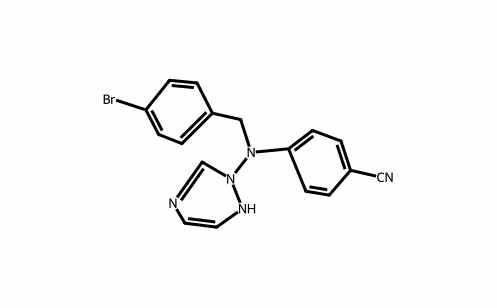 N#Cc1ccc(N(Cc2ccc(Br)cc2)N2C=NC=CN2)cc1